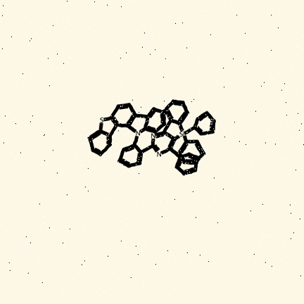 c1ccc(-c2nc(-c3ccccc3-n3c4ccccc4c4ccc5sc6ccccc6c5c43)nc3c2[Si](c2ccccc2)(c2ccccc2)c2ccccc2-3)cc1